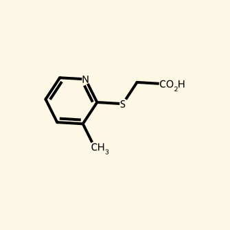 Cc1cccnc1SCC(=O)O